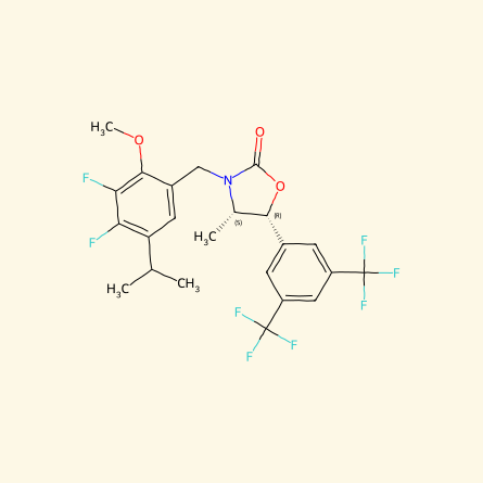 COc1c(CN2C(=O)O[C@H](c3cc(C(F)(F)F)cc(C(F)(F)F)c3)[C@@H]2C)cc(C(C)C)c(F)c1F